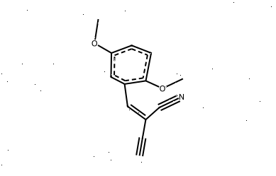 C#C/C(C#N)=C/c1cc(OC)ccc1OC